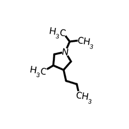 CCCC1CN(C(C)C)CC1C